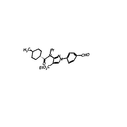 CCOC(=O)c1cn(-c2ccc(C=O)cc2)nc1N(C(=O)[C@H]1CC[C@H](C)CC1)C(C)C